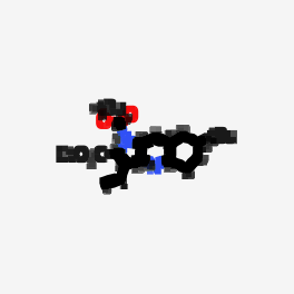 C=Cc1c(C(=O)OCC)n(C(=O)OC(C)(C)C)c2cc3c(nc12)CCC(C(C)(C)C)C3